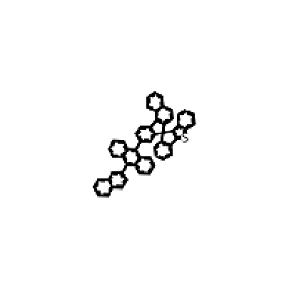 c1ccc2c(c1)-c1sc3ccccc3c1C21c2cc(-c3c4ccccc4c(-c4ccc5ccccc5c4)c4ccccc34)ccc2-c2c1ccc1ccccc21